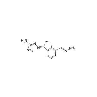 NN=Cc1cccc2c1CCC2=NN=C(N)N